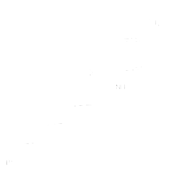 Cc1ccc(NC(=O)CCCCCCBr)cc1